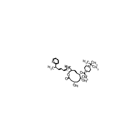 C/C(=C\C=C\C(C)c1ccccn1)[C@H]1OC(=O)C[C@@H](O)CC[C@](C)(O)[C@@H](OC(=O)N2CCN(C(C)(C)C)CC2)/C=C/[C@@H]1C